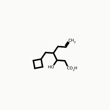 C=CCC(CC1CCC1)C(O)CC(=O)O